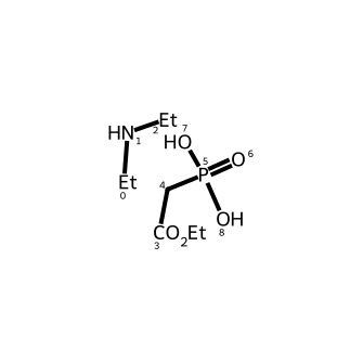 CCNCC.CCOC(=O)CP(=O)(O)O